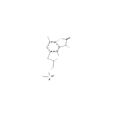 Cc1cc2c(c3c1NC(=O)C3C(C)C)OC(COS(C)(=O)=O)C2